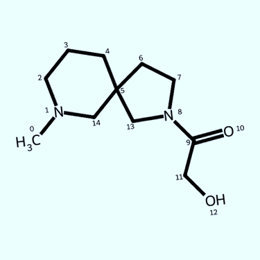 CN1CCCC2(CCN(C(=O)CO)C2)C1